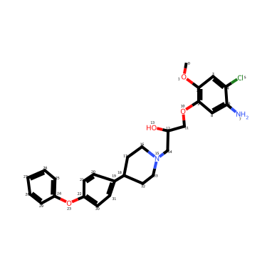 COc1cc(Cl)c(N)cc1OCC(O)CN1CCC(c2ccc(Oc3ccccc3)cc2)CC1